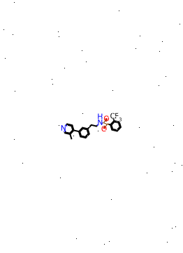 Cc1cnccc1-c1cccc(CCNS(=O)(=O)c2ccccc2C(F)(F)F)c1